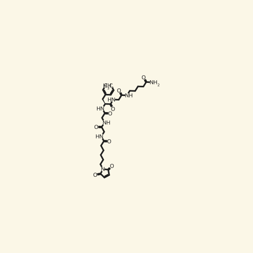 C/C=C\C(=C/C)C[C@H](NC(=O)CNC(=O)CNC(=O)CCCCCN1C(=O)C=CC1=O)C(=O)NCC(=O)NCCCCC(N)=O